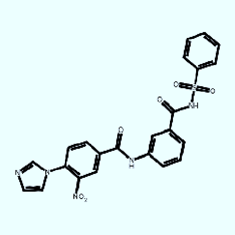 O=C(Nc1cccc(C(=O)NS(=O)(=O)c2ccccc2)c1)c1ccc(-n2ccnc2)c([N+](=O)[O-])c1